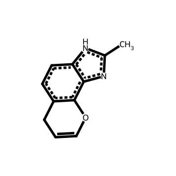 Cc1nc2c3c(ccc2[nH]1)CC=CO3